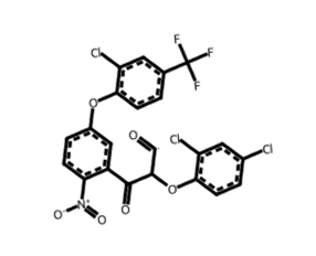 O=[C]C(Oc1ccc(Cl)cc1Cl)C(=O)c1cc(Oc2ccc(C(F)(F)F)cc2Cl)ccc1[N+](=O)[O-]